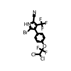 N#Cc1[nH]c(Br)c(-c2ccc(OC(F)(F)C(Cl)Cl)cc2)c1C(F)(F)F